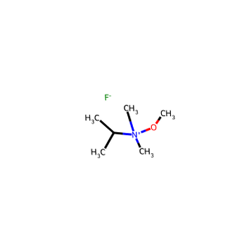 CO[N+](C)(C)C(C)C.[F-]